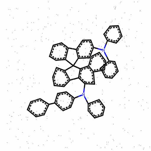 c1ccc(-c2ccc(N(c3ccccc3)c3cc4ccccc4c4c3-c3ccccc3C43c4ccccc4-c4ccc(N(c5ccccc5)c5ccccc5)cc43)cc2)cc1